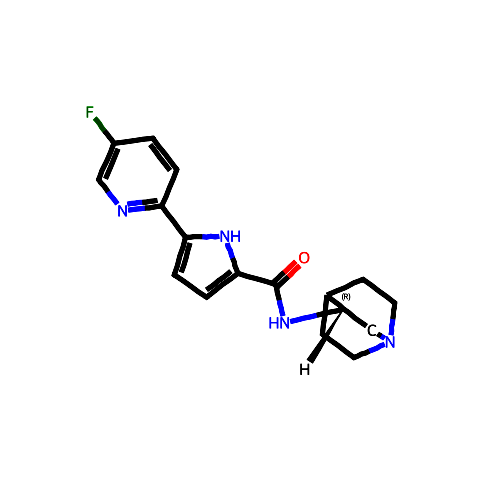 O=C(N[C@H]1CN2CCC1CC2)c1ccc(-c2ccc(F)cn2)[nH]1